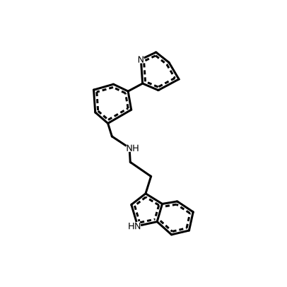 c1ccc(-c2cccc(CNCCc3c[nH]c4ccccc34)c2)nc1